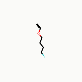 C=COCCCCF